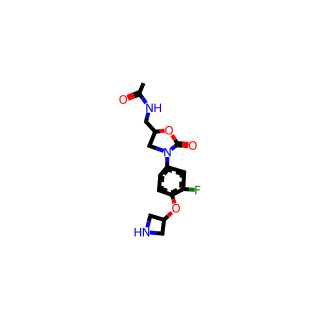 CC(=O)NCC1CN(c2ccc(OC3CNC3)c(F)c2)C(=O)O1